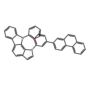 c1ccc(-n2c3ccccc3c3ccc4ccn(-c5cccc(-c6ccc7c(ccc8ccccc87)c6)c5)c4c32)cc1